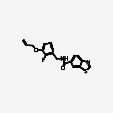 C=CCOc1cccc(CNC(=O)c2ccc3ncsc3c2)c1F